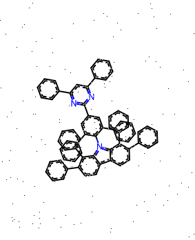 c1ccc(-c2cc(-c3ccccc3)nc(-c3cc(-c4ccccc4)c(-n4c5c(-c6ccccc6)c(-c6ccccc6)ccc5c5ccc(-c6ccccc6)c(-c6ccccc6)c54)c(-c4ccccc4)c3)n2)cc1